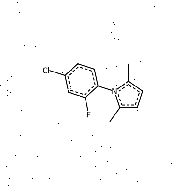 Cc1ccc(C)n1-c1ccc(Cl)cc1F